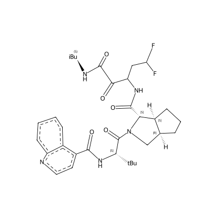 CC[C@H](C)NC(=O)C(=O)C(CC(F)F)NC(=O)[C@@H]1[C@H]2CCC[C@H]2CN1C(=O)[C@@H](NC(=O)c1ccnc2ccccc12)C(C)(C)C